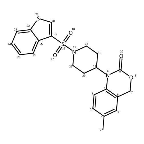 Cc1ccc2c(c1)COC(=O)N2C1CCN(S(=O)(=O)c2csc3ccccc23)CC1